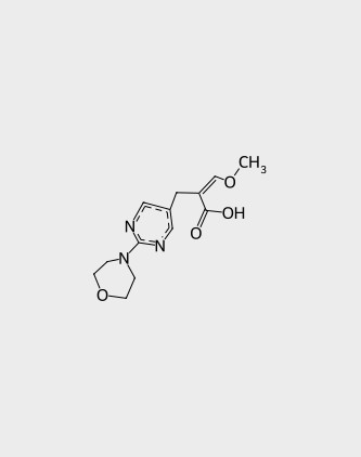 COC=C(Cc1cnc(N2CCOCC2)nc1)C(=O)O